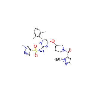 Cc1cc(C(=O)N2CCC(Oc3cc(-c4c(C)cccc4C)nc(NS(=O)(=O)c4cnn(C)c4)n3)C2)n(C(C)(C)C)n1